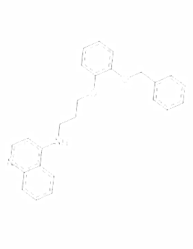 c1ccc(COc2ccccc2OCCCNc2ccnc3ccccc23)cc1